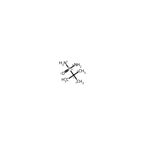 CC(C)(C)P(N)(N)=O